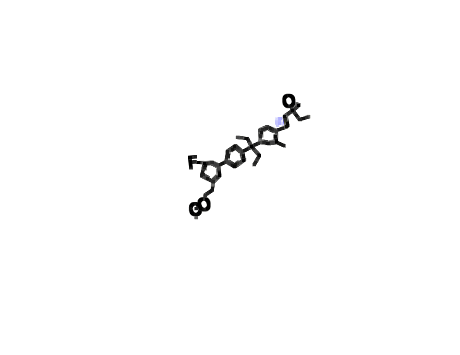 CCC1(/C=C/c2ccc(C(CC)(CC)c3ccc(-c4cc(F)cc(CCOOC)c4)cc3)cc2C)CO1